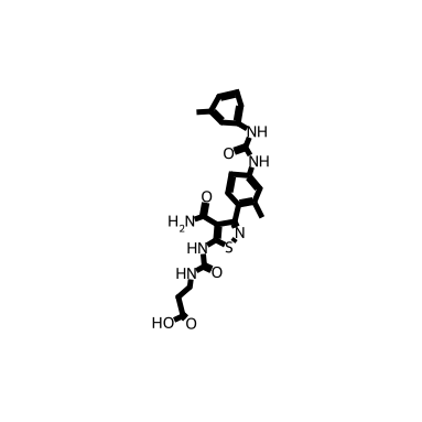 Cc1cccc(NC(=O)Nc2ccc(-c3nsc(NC(=O)NCCC(=O)O)c3C(N)=O)c(C)c2)c1